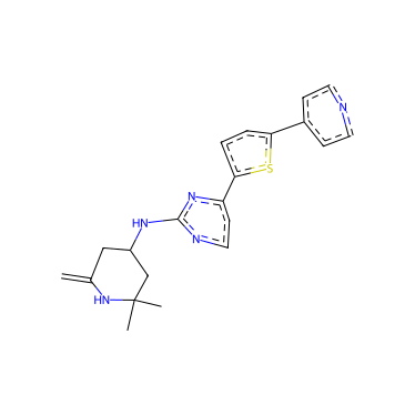 C=C1CC(Nc2nccc(-c3ccc(-c4ccncc4)s3)n2)CC(C)(C)N1